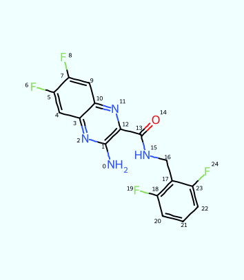 Nc1nc2cc(F)c(F)cc2nc1C(=O)NCc1c(F)cccc1F